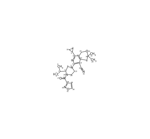 CC(C)C1CN(c2nc(C3CC3)c3c(c2C#N)CC(C)(C)OC3)CCN1C(=O)c1ccon1